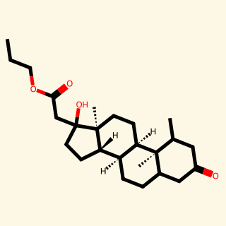 CCCOC(=O)CC1(O)CC[C@H]2[C@@H]3CCC4CC(=O)CC(C)[C@]4(C)[C@@H]3CC[C@@]21C